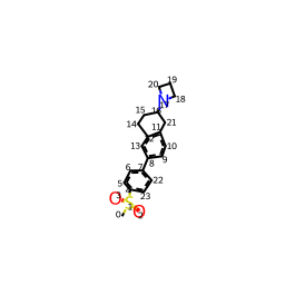 CS(=O)(=O)c1ccc(-c2ccc3c(c2)CCC(N2CCC2)C3)cc1